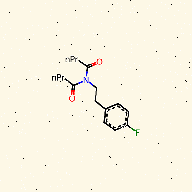 CCCC(=O)N(CCc1ccc(F)cc1)C(=O)CCC